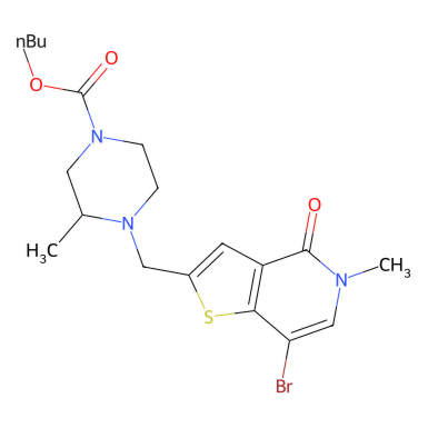 CCCCOC(=O)N1CCN(Cc2cc3c(=O)n(C)cc(Br)c3s2)C(C)C1